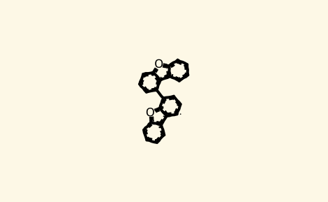 [c]1ccc(-c2cccc3oc4ccccc4c23)c2oc3ccccc3c12